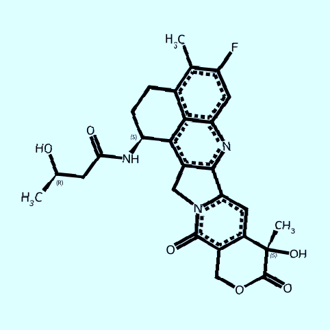 Cc1c(F)cc2nc3c(c4c2c1CC[C@@H]4NC(=O)C[C@@H](C)O)Cn1c-3cc2c(c1=O)COC(=O)[C@@]2(C)O